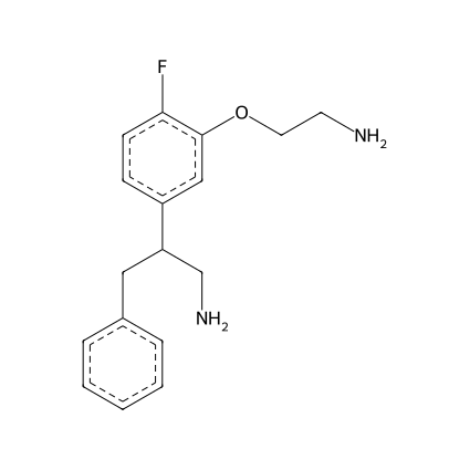 NCCOc1cc(C(CN)Cc2ccccc2)ccc1F